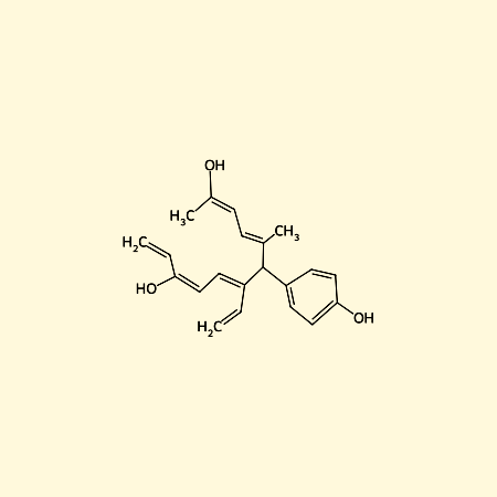 C=C/C(O)=C\C=C(/C=C)C(/C(C)=C/C=C(\C)O)c1ccc(O)cc1